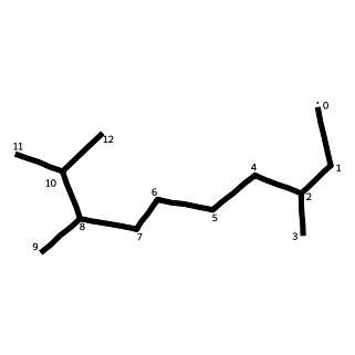 [CH2]CC(C)CCCCC(C)C(C)C